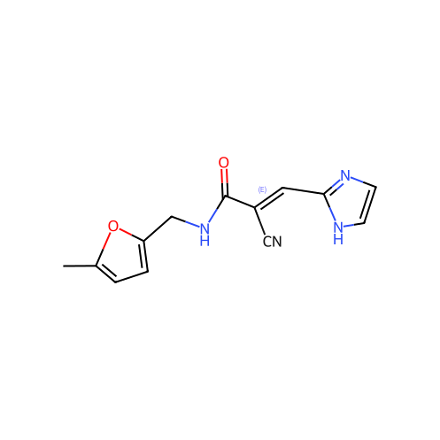 Cc1ccc(CNC(=O)/C(C#N)=C/c2ncc[nH]2)o1